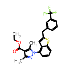 CCOC(=O)c1c(C)nn(-c2cccc3sc(Cc4cccc(C(F)(F)F)c4)cc23)c1C